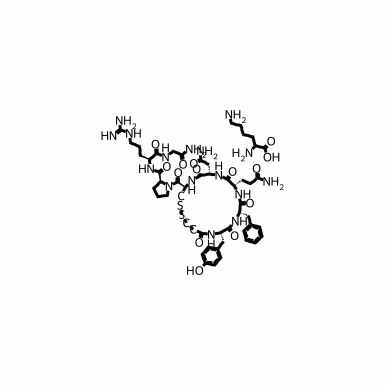 N=C(N)NCCC[C@H](NC(=O)[C@@H]1CCCN1C(=O)[C@@H]1CSSCCC(=O)N[C@@H](Cc2ccc(O)cc2)C(=O)N[C@@H](Cc2ccccc2)C(=O)N[C@@H](CCC(N)=O)C(=O)N[C@@H](CC(N)=O)C(=O)N1)C(=O)NCC(N)=O.NCCCCC(N)C(=O)O